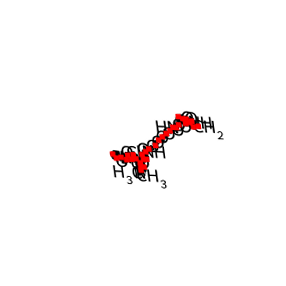 C=C1CCC(N2C(=O)c3cccc(OCC(=O)NCCOCCOCCOCCOCCNC(=O)c4ccc(OS(=O)(=Nc5ccc(C(=O)N6CCO[C@@H](c7ccccc7)C6)c(Cl)c5)N5CC[C@H](N(C)C)C5)cc4)c3C2=O)C(=O)N1